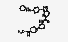 CCNC1CCN(c2cccc(NC(=O)c3ccn4ncc(-c5ccc(NCc6ccccc6)cc5)c4n3)c2)CC1